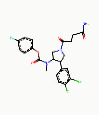 CN(C(=O)Oc1ccc(F)cc1)C1CN(C(=O)CCC(N)=O)CC1c1ccc(Cl)c(Cl)c1